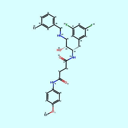 CCOc1ccc(NC(=O)CCC(=O)N[C@@H](Cc2cc(F)cc(F)c2)[C@H](O)CNCc2cccc(CC)c2)cc1